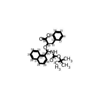 CC(C)(C)OC(=O)N[C@H](O[C@H](Cc1ccccc1)C(=O)O)C1=C2C=CC=CC2CC=C1